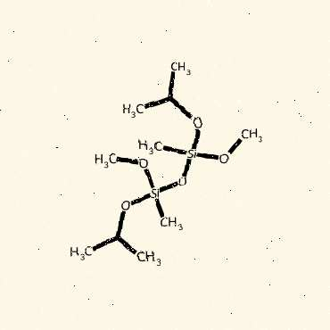 CO[Si](C)(OC(C)C)O[Si](C)(OC)OC(C)C